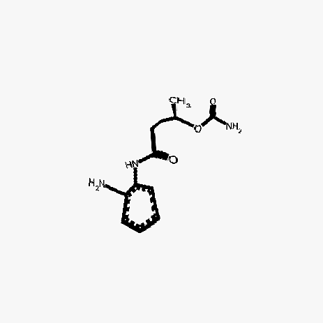 C[C@H](CC(=O)Nc1ccccc1N)OC(N)=O